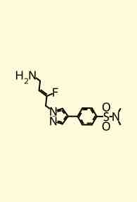 CN(C)S(=O)(=O)c1ccc(-c2cnn(C/C(F)=C/CN)c2)cc1